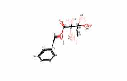 BC(B)(C(=O)OCc1ccccc1)[C@@](B)(C)O